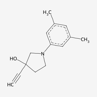 C#CC1(O)CCN(c2cc(C)cc(C)c2)C1